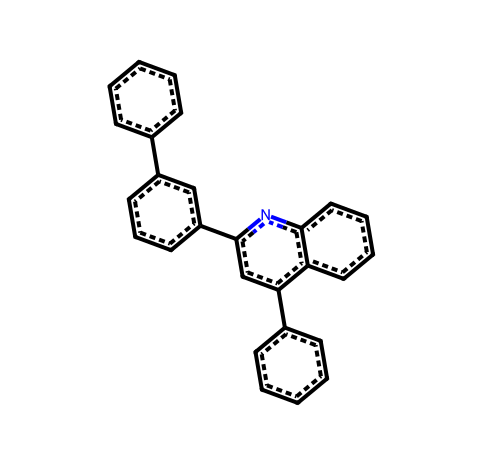 c1ccc(-c2cccc(-c3cc(-c4ccccc4)c4ccccc4n3)c2)cc1